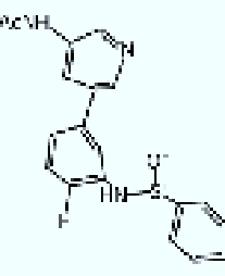 CC(=O)Nc1cncc(-c2ccc(F)c(N[S+]([O-])c3ccccc3)c2)c1